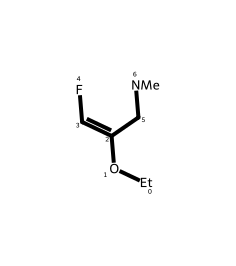 CCOC(=CF)CNC